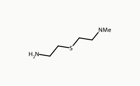 CNCCSCCN